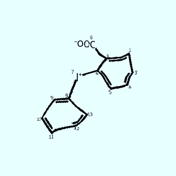 O=C([O-])c1ccccc1[I+]c1ccccc1